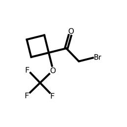 O=C(CBr)C1(OC(F)(F)F)CCC1